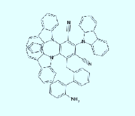 N#Cc1c(Cc2ccccc2-c2ccccc2N)c(-n2c3ccccc3c3ccccc32)c(-n2c3ccccc3c3ccccc32)c(C#N)c1N1c2ccccc2C2C=CC=CC21